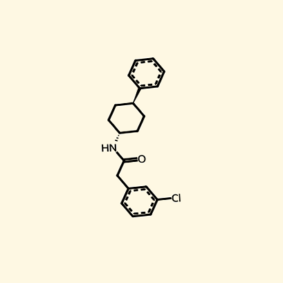 O=C(Cc1cccc(Cl)c1)N[C@H]1CC[C@H](c2ccccc2)CC1